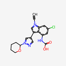 C#Cn1cc(-c2cnn(C3CCCCO3)c2)c2c(NC(=O)O)cc(Cl)cc21